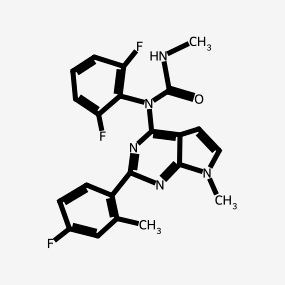 CNC(=O)N(c1c(F)cccc1F)c1nc(-c2ccc(F)cc2C)nc2c1ccn2C